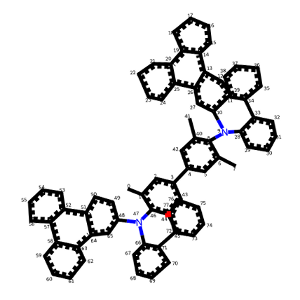 Cc1cc(-c2cc(C)c(N(c3ccc4c5ccccc5c5ccccc5c4c3)c3ccccc3-c3ccccc3)c(C)c2)cc(C)c1N(c1ccc2c3ccccc3c3ccccc3c2c1)c1ccccc1-c1ccccc1